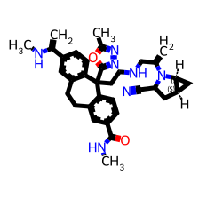 C=C(NC)c1ccc2c(c1)CCc1cc(C(=O)NC)ccc1C2(CCNCC(=C)N1C(C#N)C[C@@H]2C[C@@H]21)c1nnc(C)o1